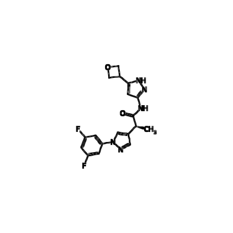 C[C@H](C(=O)Nc1cc(C2COC2)[nH]n1)c1cnn(-c2cc(F)cc(F)c2)c1